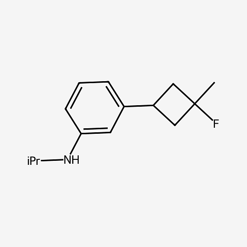 CC(C)Nc1cccc(C2CC(C)(F)C2)c1